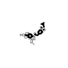 Nc1cc(C(O)(C(F)(F)F)C(F)(F)F)ccc1NC(=O)Cc1ccc(S(=O)(=O)CC2CC2)cc1